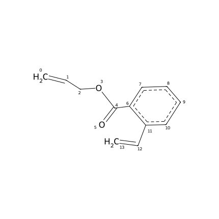 C=CCOC(=O)c1ccccc1C=C